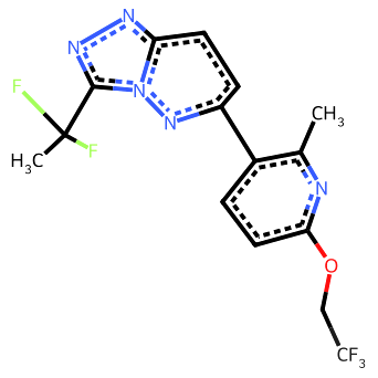 Cc1nc(OCC(F)(F)F)ccc1-c1ccc2nnc(C(C)(F)F)n2n1